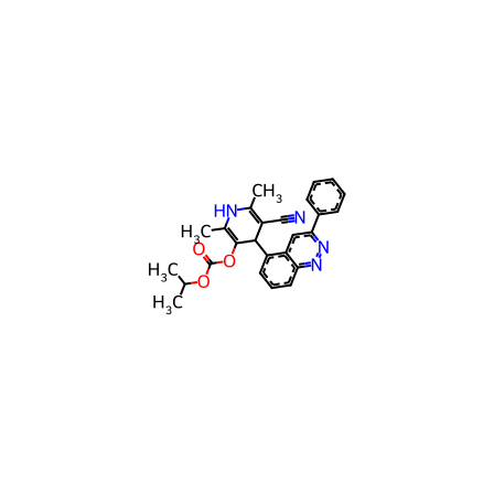 CC1=C(C#N)C(c2cccc3nnc(-c4ccccc4)cc23)C(OC(=O)OC(C)C)=C(C)N1